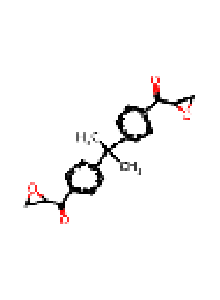 CC(C)(c1ccc(C(=O)C2CO2)cc1)c1ccc(C(=O)C2CO2)cc1